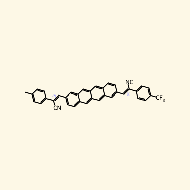 [C-]#[N+]/C(=C\c1ccc2cc3cc4cc(/C=C(\C#N)c5ccc(C)cc5)ccc4cc3cc2c1)c1ccc(C(F)(F)F)cc1